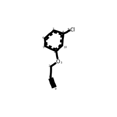 C#CCOc1c[c]cc(Cl)c1